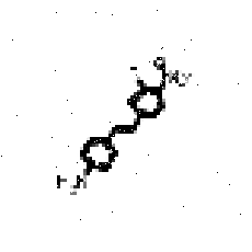 Nc1ccc(/C=C/c2ccc([N+](=O)[O-])c(F)c2)cc1